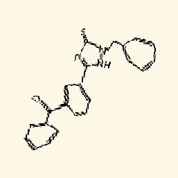 O=C(c1ccccc1)c1cccc(-c2nc(=S)n(Cc3ccccc3)[nH]2)c1